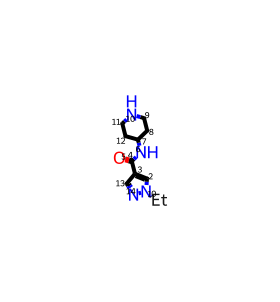 CCn1cc(C(=O)NC2CCNCC2)cn1